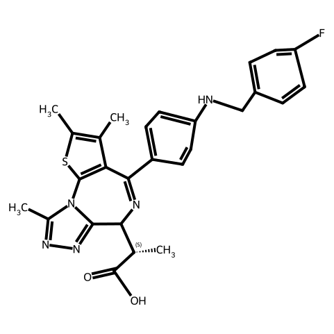 Cc1sc2c(c1C)C(c1ccc(NCc3ccc(F)cc3)cc1)=NC([C@H](C)C(=O)O)c1nnc(C)n1-2